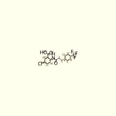 O=C(CCc1ccc(C(F)(F)F)cc1)Nc1ccc(Cl)cc1C(=O)O